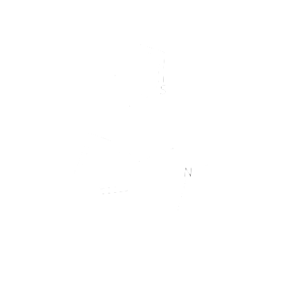 CN(C)Cc1ccccc1-c1cccs1